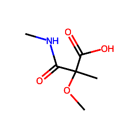 CNC(=O)C(C)(OC)C(=O)O